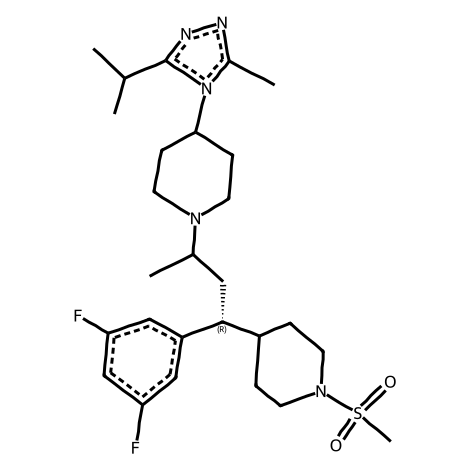 Cc1nnc(C(C)C)n1C1CCN(C(C)C[C@@H](c2cc(F)cc(F)c2)C2CCN(S(C)(=O)=O)CC2)CC1